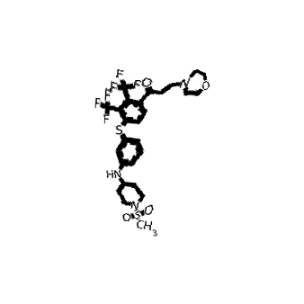 CS(=O)(=O)N1CCC(Nc2cccc(Sc3ccc(C(=O)C=CN4CCOCC4)c(C(F)(F)F)c3C(F)(F)F)c2)CC1